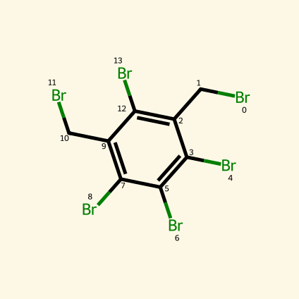 BrCc1c(Br)c(Br)c(Br)c(CBr)c1Br